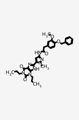 CCCn1c(=O)c2nc(-c3cc(NC(=O)Cc4ccc(OCc5ccccc5)c(OC)c4)nn3C)[nH]c2n(CCC)c1=O